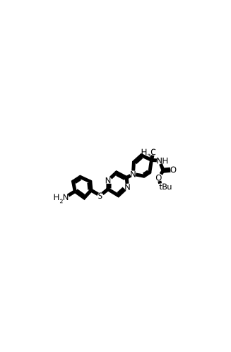 CC1(NC(=O)OC(C)(C)C)C=CN(c2cnc(Sc3cccc(N)c3)cn2)C=C1